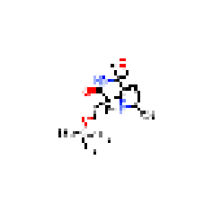 CCC1(CCO[Si](C)(C)C(C)(C)C)C(=O)NC2(COC2)c2ccc(C#N)nc21